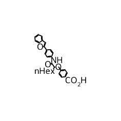 CCCCCCC(Oc1ccc(C(=O)O)cc1)C(=O)Nc1ccc(-c2cc3ccccc3o2)cc1